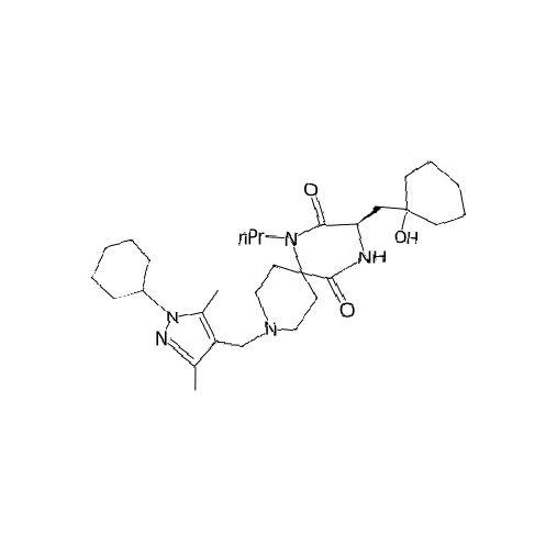 CCCN1C(=O)[C@@H](CC2(O)CCCCC2)NC(=O)C12CCN(Cc1c(C)nn(C3CCCCC3)c1C)CC2